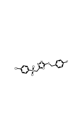 O=S(=O)(Cc1nnc(SCc2ccc(F)cc2)o1)c1ccc(Cl)cc1